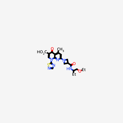 CCOCC(CC)NC(=O)C1CN(c2cc(C)c3c(=O)c(C(=O)O)cn(-c4ncns4)c3n2)C1